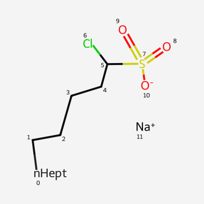 CCCCCCCCCCCC(Cl)S(=O)(=O)[O-].[Na+]